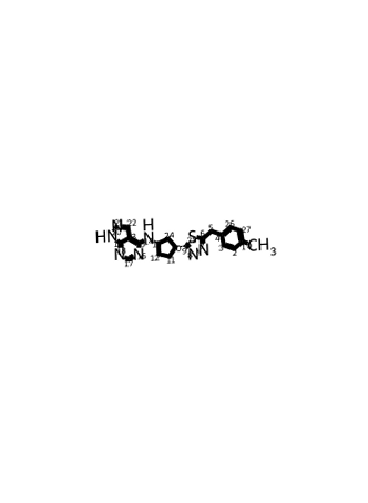 Cc1ccc(Cc2nnc([C@@H]3CC[C@H](Nc4ncnc5[nH]ncc45)C3)s2)cc1